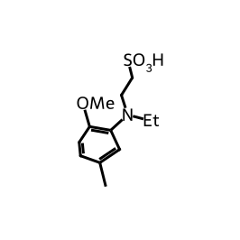 CCN(CCS(=O)(=O)O)c1cc(C)ccc1OC